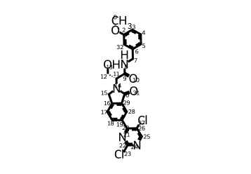 COc1cccc(CNC(=O)[C@@H](CO)N2Cc3ccc(-c4nc(Cl)ncc4Cl)cc3C2=O)c1